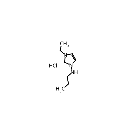 CCCNN1C=CN(CC)C1.Cl